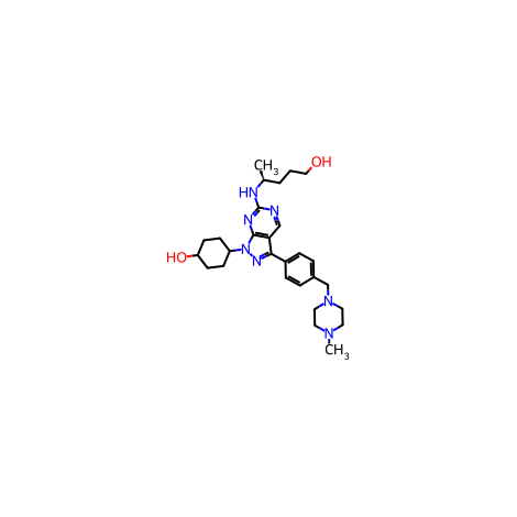 C[C@@H](CCCO)Nc1ncc2c(-c3ccc(CN4CCN(C)CC4)cc3)nn(C3CCC(O)CC3)c2n1